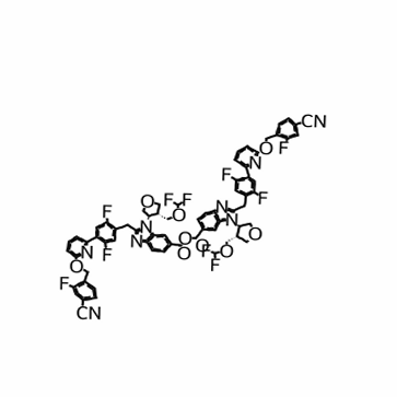 N#Cc1ccc(COc2cccc(-c3cc(F)c(Cc4nc5ccc(C(=O)OC(=O)c6ccc7nc(Cc8cc(F)c(-c9cccc(OCc%10ccc(C#N)cc%10F)n9)cc8F)n([C@@H]8COC[C@@H]8COC(F)F)c7c6)cc5n4[C@@H]4COC[C@@H]4COC(F)F)cc3F)n2)c(F)c1